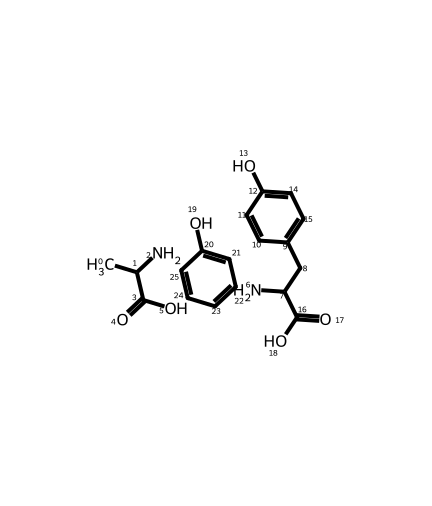 CC(N)C(=O)O.NC(Cc1ccc(O)cc1)C(=O)O.Oc1ccccc1